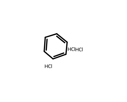 Cl.Cl.Cl.c1ccccc1